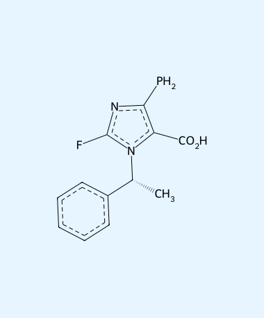 C[C@H](c1ccccc1)n1c(F)nc(P)c1C(=O)O